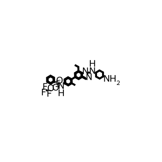 CCc1cc(-c2ccc(NS(=O)(=O)c3ccccc3OC(F)(F)F)cc2C)cc2cnc(N[C@H]3CC[C@H](N)CC3)nc12